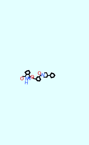 O=CC1NN=C(OCc2cccc(C(=O)N3CC=C(c4ccccc4)CC3)c2)c2ccccc21